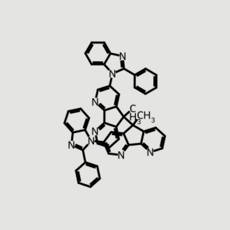 CC1(C2(C)c3cccnc3-c3ncc(-n4c(-c5ccccc5)nc5ccccc54)cc32)c2cccnc2-c2ncc(-n3c(-c4ccccc4)nc4ccccc43)cc21